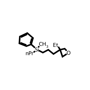 CCC[Si](C)(CCCC1(CC)COC1)c1ccccc1